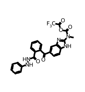 CN(C(=O)OC(=O)C(F)(F)F)c1nc2cc(C(=O)c3ccccc3C(=O)NNc3ccccc3)ccc2[nH]1